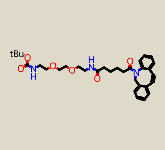 CC(C)(C)OC(=O)NCCOCCOCCNC(=O)CCCCC(=O)N1Cc2ccccc2C#Cc2ccccc21